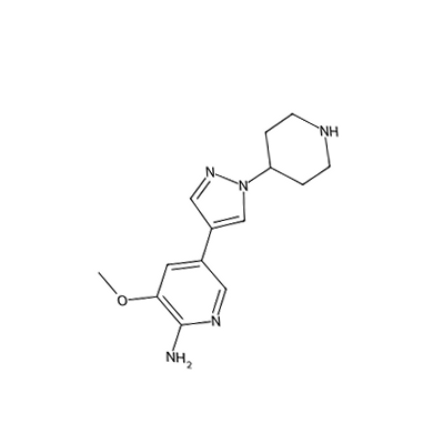 COc1cc(-c2cnn(C3CCNCC3)c2)cnc1N